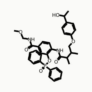 COCNC(=O)c1ccc(NC(=O)C(C)C(C)COc2ccc(C(C)O)cc2)c(OP(=O)(c2ccccc2)c2ccccc2)c1